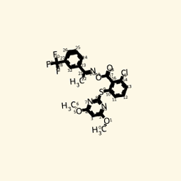 COc1cc(OC)nc(Sc2cccc(Cl)c2C(=O)O/N=C(\C)c2cc#cc(C(F)(F)F)c2)n1